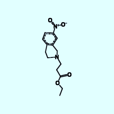 CCOC(=O)CCN1CCc2ccc([N+](=O)[O-])cc2C1